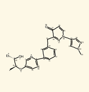 CC[C@H](O)[C@H](C)Oc1cnc(-c2cccc(Cc3nn(-c4cnn(C)c4)ccc3=O)c2)nc1